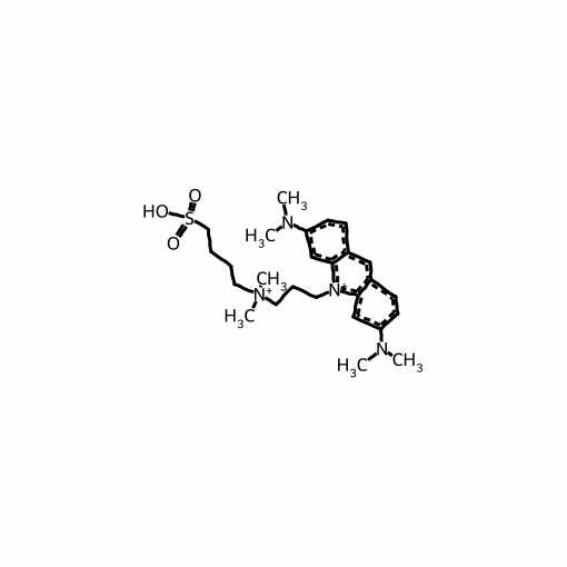 CN(C)c1ccc2cc3ccc(N(C)C)cc3[n+](CCC[N+](C)(C)CCCCS(=O)(=O)O)c2c1